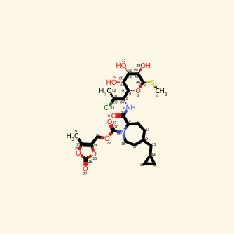 CS[C@H]1O[C@H]([C@H](NC(=O)C2CCC(CC3CC3)CCN2C(=O)OCc2oc(=O)oc2C)[C@H](C)Cl)[C@H](O)[C@H](O)[C@H]1O